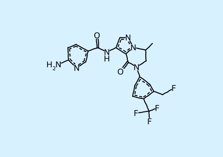 CC1CN(c2ccc(C(F)(F)F)c(CF)c2)C(=O)c2c(NC(=O)c3ccc(N)nc3)cnn21